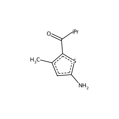 Cc1cc(N)sc1C(=O)C(C)C